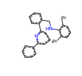 CC(C)c1cccc(C(C)C)c1NCc1ccccc1-c1cccc(-c2ccccc2)n1